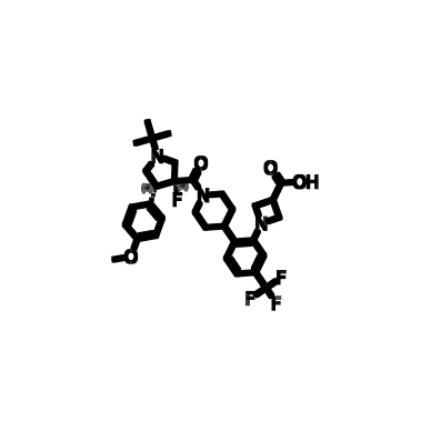 COc1ccc([C@@H]2CN(C(C)(C)C)C[C@@]2(F)C(=O)N2CCC(c3ccc(C(F)(F)F)cc3N3CC(C(=O)O)C3)CC2)cc1